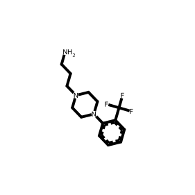 NCCCN1CCN(c2ccccc2C(F)(F)F)CC1